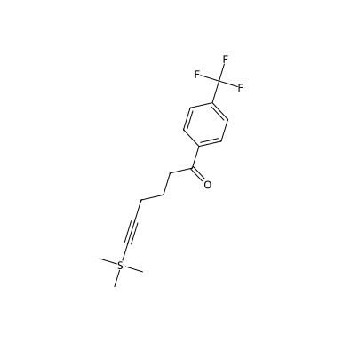 C[Si](C)(C)C#CCCCC(=O)c1ccc(C(F)(F)F)cc1